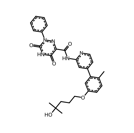 Cc1ccc(OCCCC(C)(C)O)cc1-c1ccnc(NC(=O)c2nn(-c3ccccc3)c(=O)[nH]c2=O)c1